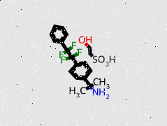 CC(C)(N)c1ccc(C(F)(F)C(F)(F)c2ccccc2)cc1.O=S(=O)(O)CCO